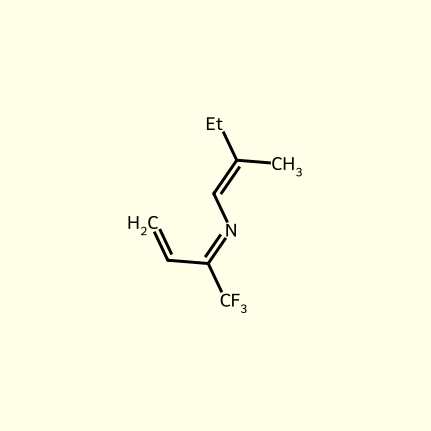 C=C/C(=N\C=C(/C)CC)C(F)(F)F